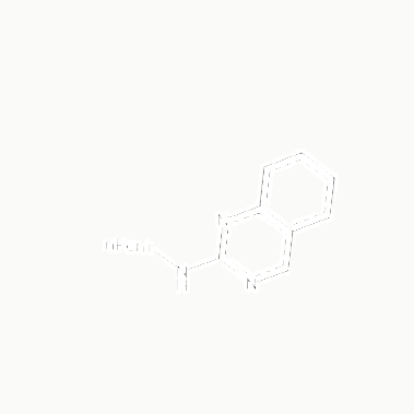 CCCCCNc1ncc2ccccc2n1